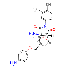 C[C@]12C[C@@H](COc3ccc(N)cc3)[C@](C)(O1)[C@]1(N)C(=O)N(c3ccc(C#N)c(C(F)(F)F)c3)C(=O)[C@H]21